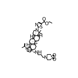 C=C(C)[C@@H]1CC[C@]2(CNCCCN3CCS(=O)(=O)CC3)CC[C@]3(C)[C@H](CC[C@@H]4[C@@]5(C)CCN(c6ncc(C(=O)OCC)s6)C(C)(C)[C@@H]5CC[C@]43C)[C@@H]12